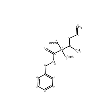 C=CCC(C)[N+](CCCCC)(CCCCC)C(=O)OCc1ccccc1